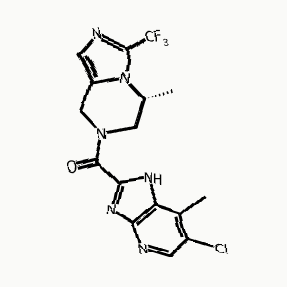 Cc1c(Cl)cnc2nc(C(=O)N3Cc4cnc(C(F)(F)F)n4[C@H](C)C3)[nH]c12